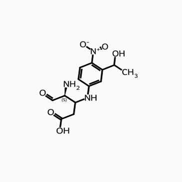 CC(O)c1cc(NC(CC(=O)O)[C@H](N)C=O)ccc1[N+](=O)[O-]